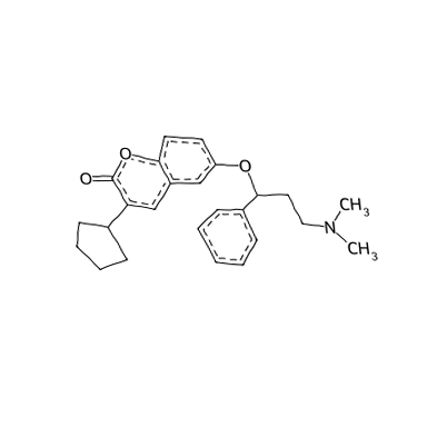 CN(C)CCC(Oc1ccc2oc(=O)c(C3CCCC3)cc2c1)c1ccccc1